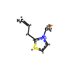 C=CCc1scc[n+]1C.[Br-]